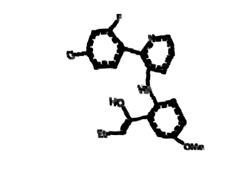 CC/C=C(\O)c1cc(OC)ccc1Nc1cccnc1-c1ccc(Cl)cc1F